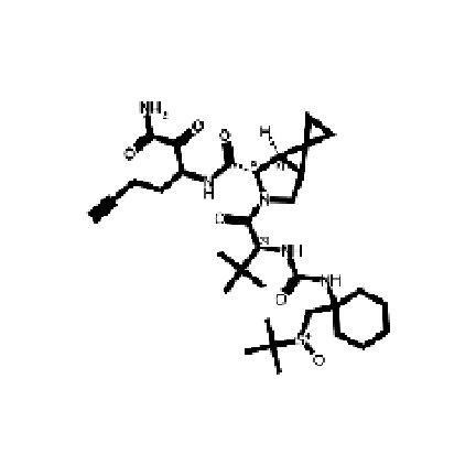 C#CCCC(NC(=O)[C@@H]1[C@@H]2C(CN1C(=O)[C@@H](NC(=O)NC1(C[S+]([O-])C(C)(C)C)CCCCC1)C(C)(C)C)C21CC1)C(=O)C(N)=O